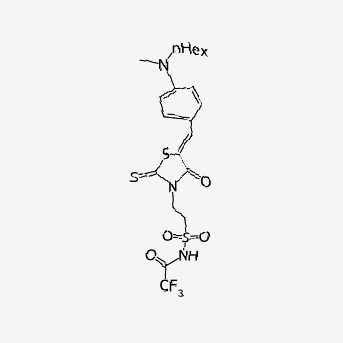 CCCCCCN(C)c1ccc(/C=C2\SC(=S)N(CCS(=O)(=O)NC(=O)C(F)(F)F)C2=O)cc1